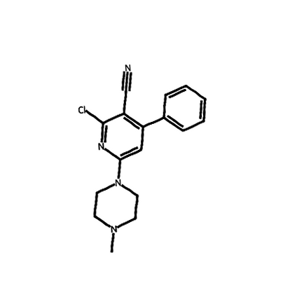 CN1CCN(c2cc(-c3ccccc3)c(C#N)c(Cl)n2)CC1